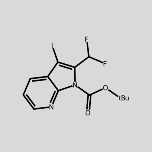 CC(C)(C)OC(=O)n1c(C(F)F)c(I)c2cccnc21